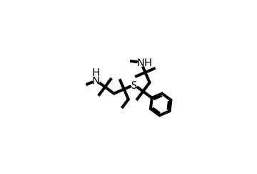 CCC(C)(CC(C)(C)NC)SC(C)(CC(C)(C)NC)c1ccccc1